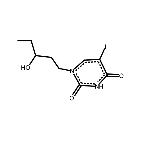 CCC(O)CCn1cc(I)c(=O)[nH]c1=O